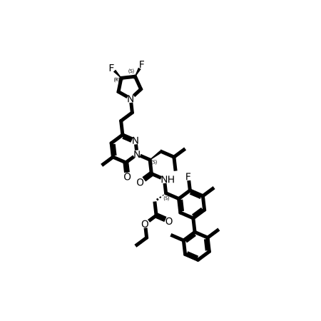 CCOC(=O)C[C@H](NC(=O)[C@H](CC(C)C)n1nc(CCN2C[C@@H](F)[C@@H](F)C2)cc(C)c1=O)c1cc(-c2c(C)cccc2C)cc(C)c1F